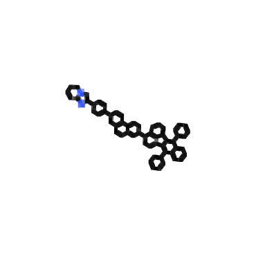 c1ccc(-c2c3c(c(-c4ccccc4)c4ccccc24)-c2ccc(-c4ccc5c(ccc6cc(-c7ccc(-c8cn9ccccc9n8)cc7)ccc65)c4)c4cccc-3c24)cc1